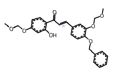 COCOc1ccc(C(=O)/C=C/c2ccc(OCc3ccccc3)c(OCOC)c2)c(O)c1